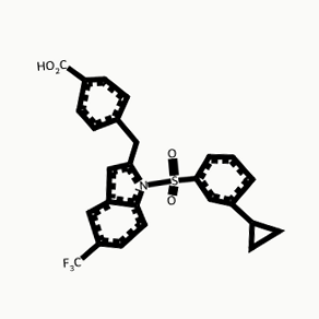 O=C(O)c1ccc(Cc2cc3cc(C(F)(F)F)ccc3n2S(=O)(=O)c2cccc(C3CC3)c2)cc1